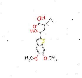 COc1cc2cc(C(O)CC(C(=O)O)C3CC3)sc2cc1OC